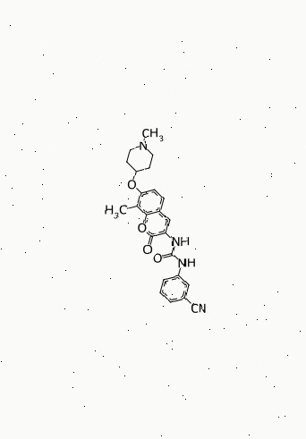 Cc1c(OC2CCN(C)CC2)ccc2cc(NC(=O)Nc3cccc(C#N)c3)c(=O)oc12